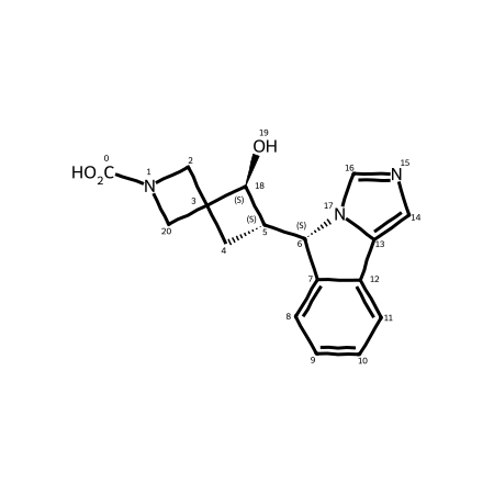 O=C(O)N1CC2(C[C@@H]([C@H]3c4ccccc4-c4cncn43)[C@@H]2O)C1